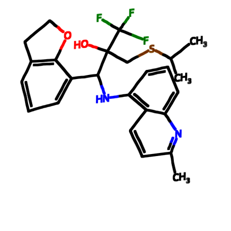 Cc1ccc2c(NC(c3cccc4c3OCC4)C(O)(CSC(C)C)C(F)(F)F)cccc2n1